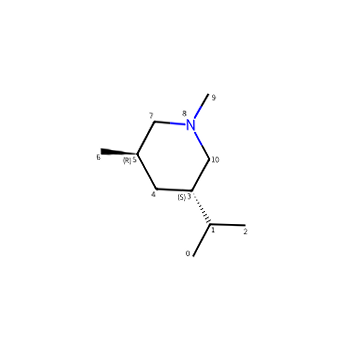 CC(C)[C@@H]1C[C@@H](C)CN(C)C1